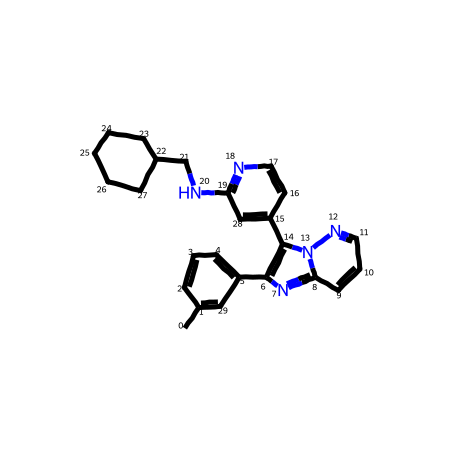 Cc1cccc(-c2nc3cccnn3c2-c2ccnc(NCC3CCCCC3)c2)c1